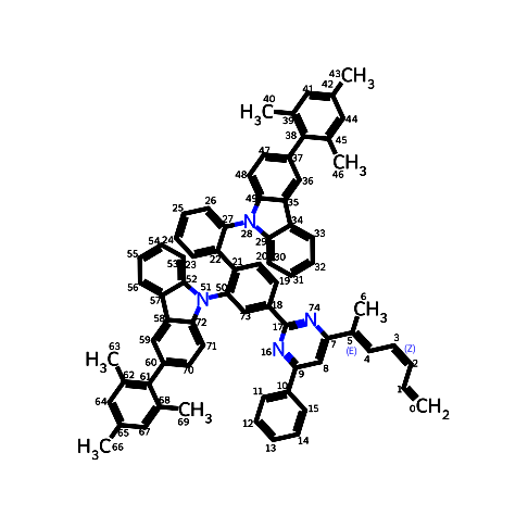 C=C/C=C\C=C(/C)c1cc(-c2ccccc2)nc(-c2ccc(-c3ccccc3-n3c4ccccc4c4cc(-c5c(C)cc(C)cc5C)ccc43)c(-n3c4ccccc4c4cc(-c5c(C)cc(C)cc5C)ccc43)c2)n1